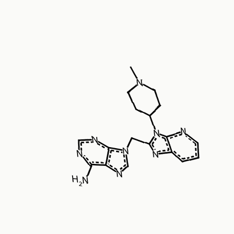 CN1CCC(n2c(Cn3cnc4c(N)ncnc43)nc3cccnc32)CC1